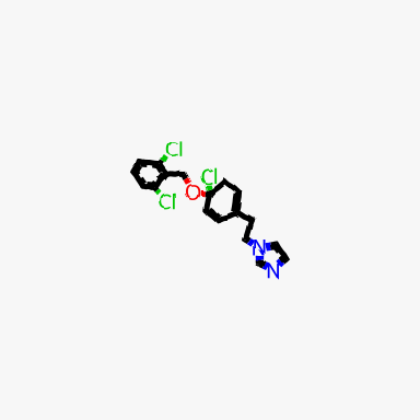 Clc1cccc(Cl)c1COC1(Cl)C=CC(CCn2ccnc2)=CC1